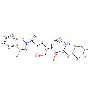 CC(CN(C)C(=O)CCC(CO)NC(=O)C(CC1CCCCC1)NC(=O)O)c1ccccc1